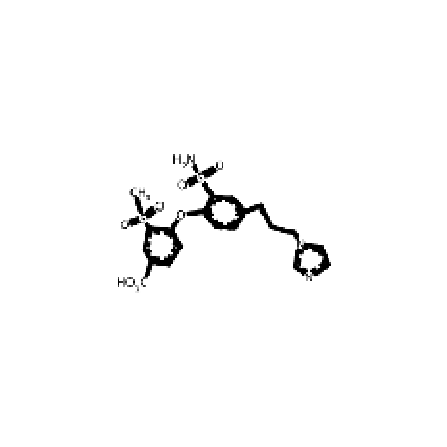 CS(=O)(=O)c1cc(C(=O)O)ccc1Oc1ccc(CCCn2ccnc2)cc1S(N)(=O)=O